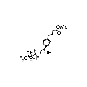 COC(=O)CCCc1ccc(C(O)CCC(F)(F)C(F)(F)C(F)(F)C(F)(F)F)cc1